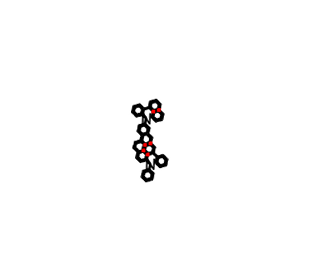 c1ccc(-c2ccccc2N(c2ccccc2)c2ccc3c(ccc4c5cc(N(c6ccccc6)c6ccccc6-c6ccccc6)ccc5ccc34)c2)cc1